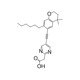 CCCCCCc1cc2c(cc1C#Cc1cnc(CC(=O)O)nc1)C(C)(C)CCO2